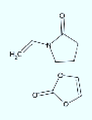 C=CN1CCCC1=O.O=c1occo1